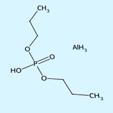 CCCOP(=O)(O)OCCC.[AlH3]